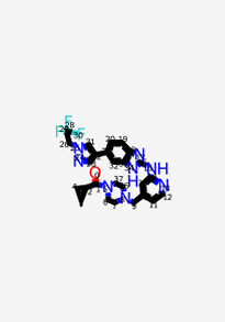 O=C(C1CC1)N1CCN(Cc2ccnc(Nc3nc4ccc(-c5cnn(CC(F)(F)F)c5)cc4[nH]3)c2)CC1